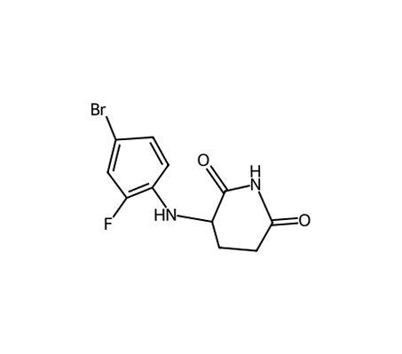 O=C1CCC(Nc2ccc(Br)cc2F)C(=O)N1